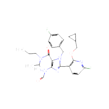 CCCN(C(=O)c1c(NC=O)nc(-c2ccc(F)nc2OCC2CC2)n1Cc1ccc(F)cc1)C(C)C